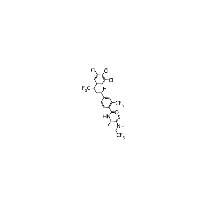 C[C@@H](NC(=O)c1ccc(/C(F)=C/C(c2cc(Cl)c(Cl)c(Cl)c2)C(F)(F)F)cc1C(F)(F)F)C(=S)N(C)CC(F)(F)F